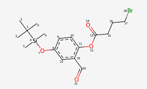 CC(C)(C)[Si](C)(C)Oc1ccc(OC(=O)CCCBr)c(C=O)c1